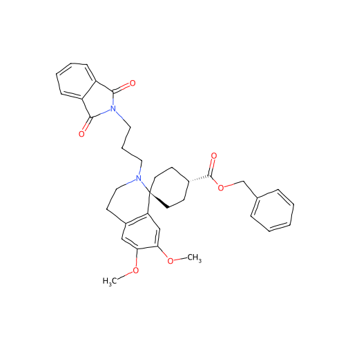 COc1cc2c(cc1OC)[C@]1(CC[C@@H](C(=O)OCc3ccccc3)CC1)N(CCCN1C(=O)c3ccccc3C1=O)CC2